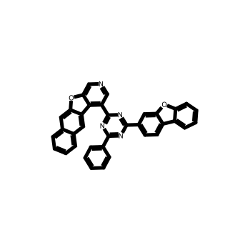 c1ccc(-c2nc(-c3ccc4c(c3)oc3ccccc34)nc(-c3cncc4oc5cc6ccccc6cc5c34)n2)cc1